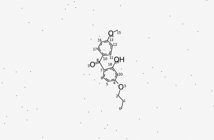 CCCOc1ccc(C(=O)c2ccc(OC)cc2)c(O)c1